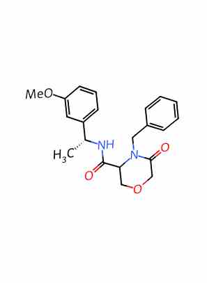 COc1cccc([C@@H](C)NC(=O)C2COCC(=O)N2Cc2ccccc2)c1